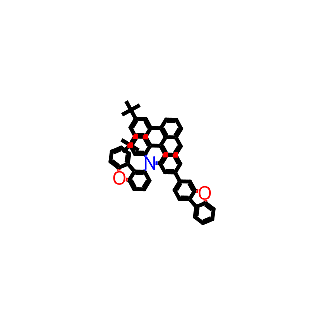 CC(C)(C)c1cc(-c2cccc3cccc(-c4ccccc4N(c4cccc(-c5ccc6c(c5)oc5ccccc56)c4)c4cccc5oc6ccccc6c45)c23)cc(C(C)(C)C)c1